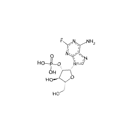 Nc1nc(F)nc2c1ncn2[C@@H]1O[C@H](CO)[C@@H](O)[C@@H]1OP(=O)(O)O